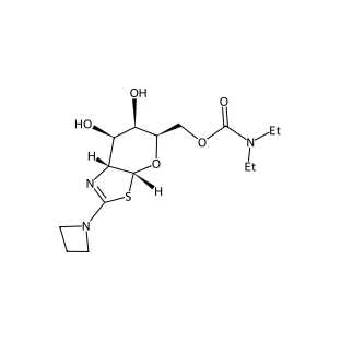 CCN(CC)C(=O)OC[C@H]1O[C@@H]2SC(N3CCC3)=N[C@@H]2[C@@H](O)[C@H]1O